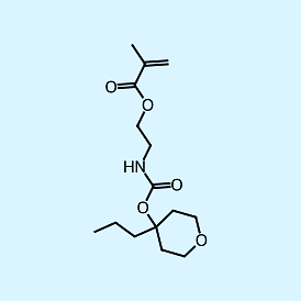 C=C(C)C(=O)OCCNC(=O)OC1(CCC)CCOCC1